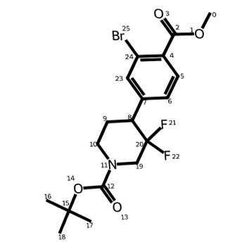 COC(=O)c1ccc(C2CCN(C(=O)OC(C)(C)C)CC2(F)F)cc1Br